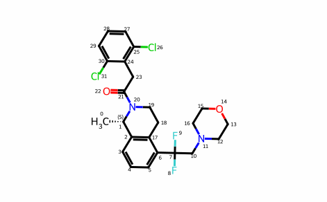 C[C@H]1c2cccc(C(F)(F)CN3CCOCC3)c2CCN1C(=O)Cc1c(Cl)cccc1Cl